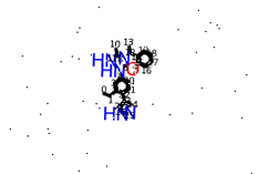 CCc1cc(NC(=O)N(C(C)=N)C(C)c2ccccc2)ccc1-c1cn[nH]c1